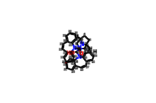 O=C(O)[C@@H]1[C@H]2CC[C@@H](CN1C(O)N1c3ccccc3C=Cc3ccccc31)N2C(=O)N1c2ccccc2C=Cc2ccccc21